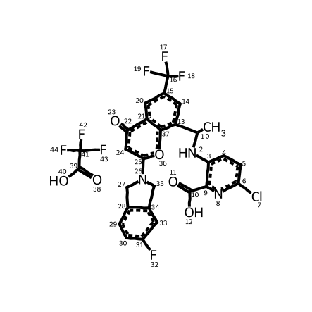 CC(Nc1ccc(Cl)nc1C(=O)O)c1cc(C(F)(F)F)cc2c(=O)cc(N3Cc4ccc(F)cc4C3)oc12.O=C(O)C(F)(F)F